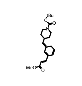 COC(=O)C=CC1=CC(=CC2CCN(C(=O)OC(C)(C)C)CC2)CC=C1